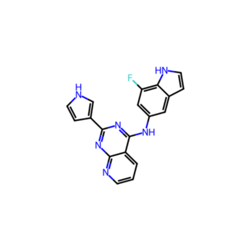 Fc1cc(Nc2nc(-c3cc[nH]c3)nc3ncccc23)cc2cc[nH]c12